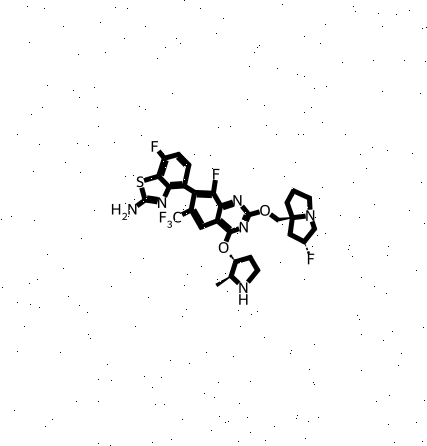 C[C@@H]1NCC[C@H]1Oc1nc(OC[C@@]23CCCN2C[C@H](F)C3)nc2c(F)c(-c3ccc(F)c4sc(N)nc34)c(C(F)(F)F)cc12